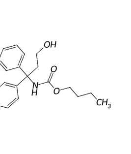 CCCCOC(=O)NC(CCO)(c1ccccc1)c1ccccc1